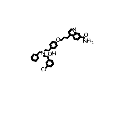 NC(=O)c1ccc2c(CCCOc3ccc(CCN(Cc4ccccc4)CC(O)c4cccc(Cl)c4)cc3)ccnc2c1